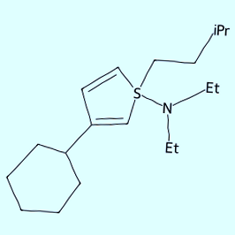 CCN(CC)S1(CCC(C)C)C=CC(C2CCCCC2)=C1